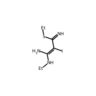 CCN/C(N)=C(\I)C(=N)SCC